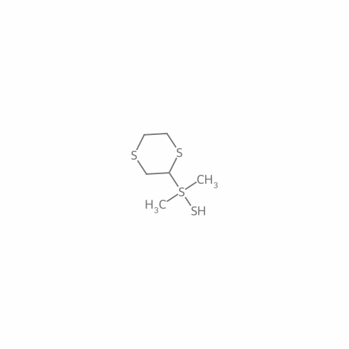 CS(C)(S)C1CSCCS1